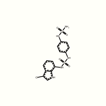 NS(=O)(=O)Nc1ccc(NS(=O)(=O)Nc2cccc3c(Cl)c[nH]c23)cc1